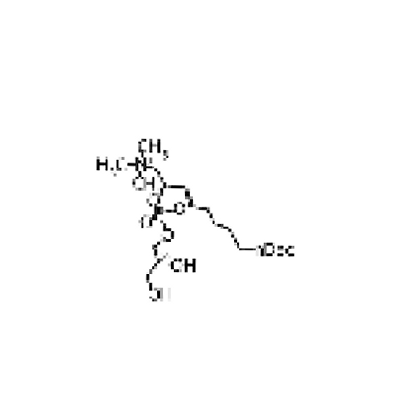 CCCCCCCCCCCCCCC=CC(C[N+](C)(C)C)OP(=O)([O-])OC[C@H](O)CO